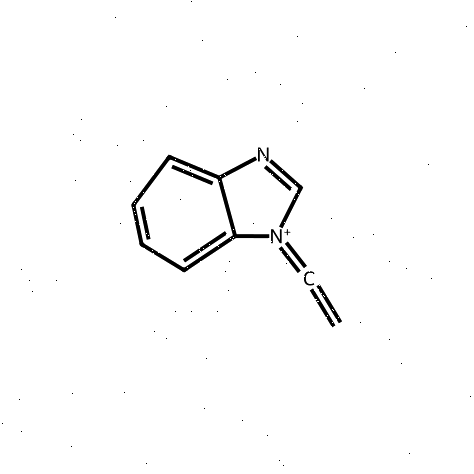 C=C=[N+]1C=Nc2ccccc21